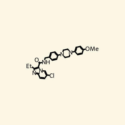 CCc1nc2ccc(Cl)cn2c1C(=O)NCc1ccc(N2CCN(c3ccc(OC)cc3)CC2)cc1